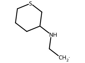 [CH2]CNC1CCCSC1